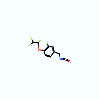 O=C=NCc1ccc(OC(F)C(F)F)c(F)c1